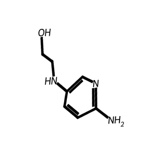 Nc1ccc(NCCO)cn1